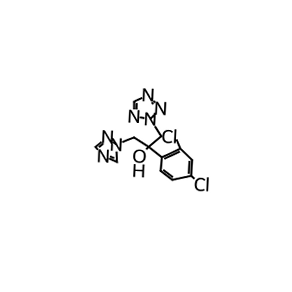 OC(Cn1cncn1)(Cn1ncnn1)c1ccc(Cl)cc1Cl